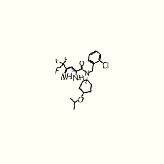 CC(C)O[C@H]1CC[C@H](N(Cc2ccccc2Cl)C(=O)/C(N)=C/C(=N)C(F)(F)F)CC1